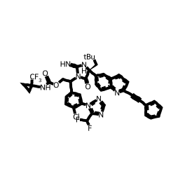 CC(C)(C)C[C@]1(c2ccc3nc(C#Cc4ccccc4)ccc3c2)NC(=N)N(C(COC(=O)NC2(C(F)(F)F)CC2)c2ccc(Cl)c(-n3ncnc3C(F)F)c2)C1=O